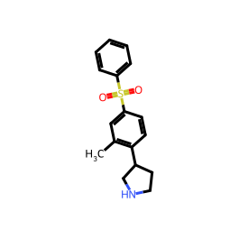 Cc1cc(S(=O)(=O)c2ccccc2)ccc1C1CCNC1